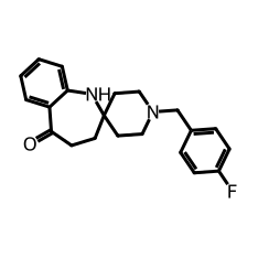 O=C1CCC2(CCN(Cc3ccc(F)cc3)CC2)Nc2ccccc21